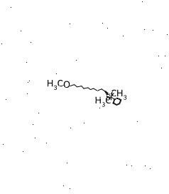 CCOCCCCCCCCCCC#C[Si](C)(C)c1ccccc1